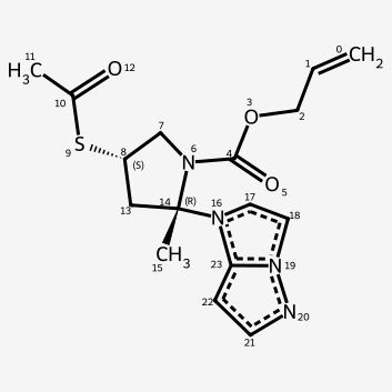 C=CCOC(=O)N1C[C@@H](SC(C)=O)C[C@@]1(C)n1ccn2nccc12